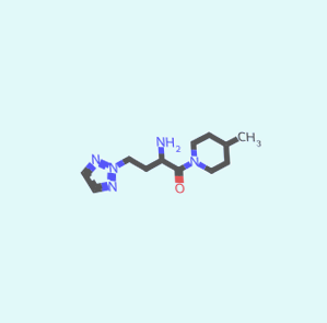 CC1CCN(C(=O)C(N)CCn2nccn2)CC1